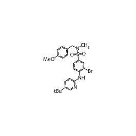 COc1ccc(CN(C)S(=O)(=O)c2ccc(Nc3ccc(C(C)(C)C)cn3)c(Br)c2)cc1